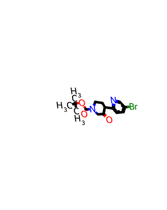 CC(C)(C)OC(=O)N1CCC(c2ccc(Br)cn2)C(=O)C1